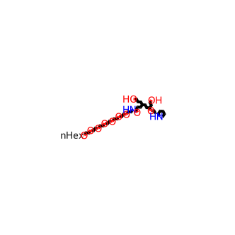 CCCCCCOCCOCCOCCOCCOCCOCCOCCNC(=O)CCC(CCCO)CCC(CCO)OCC[C@@H]1CCCCN1